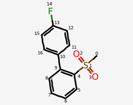 CS(=O)(=O)c1ccc[c]c1-c1ccc(F)cc1